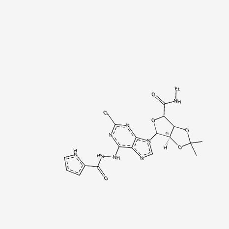 CCNC(=O)C1OC(n2cnc3c(NNC(=O)c4ccc[nH]4)nc(Cl)nc32)[C@@H]2OC(C)(C)OC12